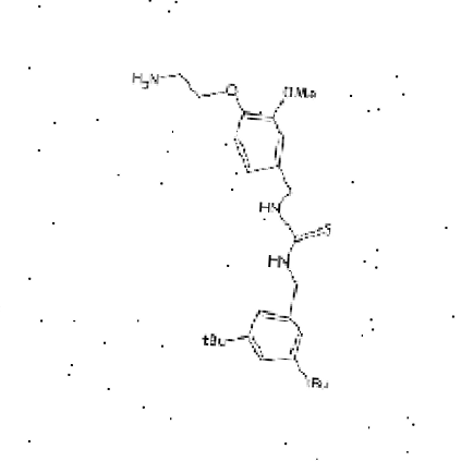 COc1cc(CNC(=S)NCc2cc(C(C)(C)C)cc(C(C)(C)C)c2)ccc1OCCN